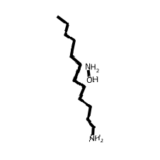 CCCCCCCCCCCCN.NO